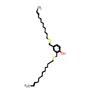 CCCCCCCCCCCCSCc1ccc(O)c(CSCCCCCCCCCCCC)c1